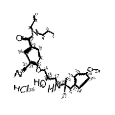 CCCN(CCC)C(=O)c1ccc(OC[C@H](O)CNC(C)(C)Cc2ccc(OC)cc2)c(C#N)c1.Cl